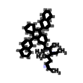 C=C(C/C=C\C)C(=C/C)/C(C)=C(\N)c1ccc2c(-c3ccc4ccccc4c3)c3ccccc3c(-c3ccc4c(c3)CCC=C4)c2c1